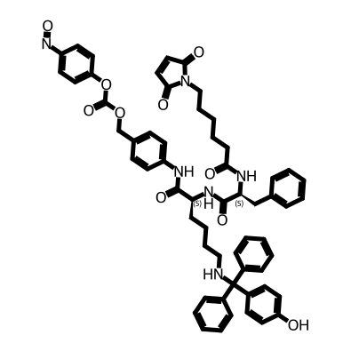 O=Nc1ccc(OC(=O)OCc2ccc(NC(=O)[C@H](CCCCNC(c3ccccc3)(c3ccccc3)c3ccc(O)cc3)NC(=O)[C@H](Cc3ccccc3)NC(=O)CCCCCN3C(=O)C=CC3=O)cc2)cc1